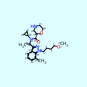 COCCCCn1nc([C@@H](C)N(C(=O)[C@H]2CNCCO2)C2CC2)c2cccc(C)c21